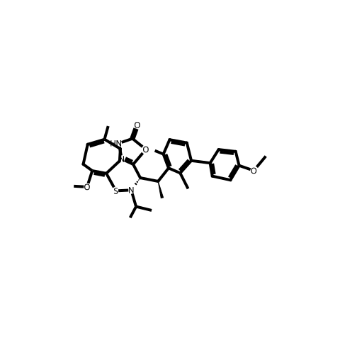 COC1=C(SN(C(C)C)[C@H](c2n[nH]c(=O)o2)[C@H](C)c2c(C)ccc(-c3ccc(OC)cc3)c2C)CCC(C)=CC1